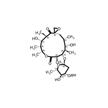 CO[C@H]1C[C@H](O[C@H]2[C@H](C)[C@@H](O)[C@@H](C)C[C@@]3(CO3)C(=O)[C@H](C)[C@@H](O)[C@@H](C)[C@@H](C)OC(=O)[C@@H]2C)O[C@@H](C)[C@@H]1O